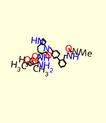 CNC(=O)NCc1ccccc1-c1ccc(CN2C(=O)[C@H](NC(=O)C(N)C(C)(C)C[C@@H](C)O)CCc3[nH]ccc32)cc1